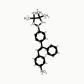 CC1(C)OB(c2ccc(C(=Cc3ccc([N+](=O)[O-])cc3)c3ccccc3)cc2)OC1(C)C